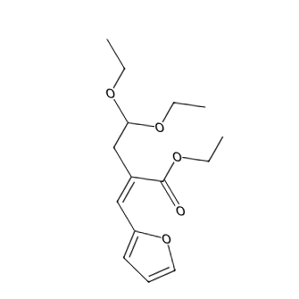 CCOC(=O)C(=Cc1ccco1)CC(OCC)OCC